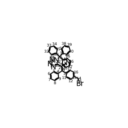 N#CC(=C(c1ccccc1)c1ccc(CBr)cc1)c1nnnn1C(c1ccccc1)(c1ccccc1)c1ccccc1